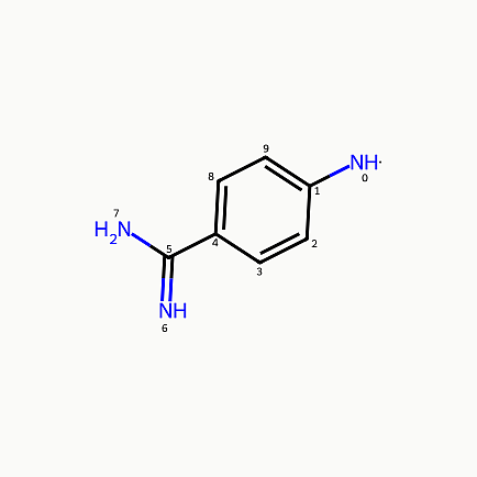 [NH]c1ccc(C(=N)N)cc1